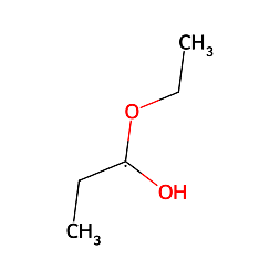 CCO[C](O)CC